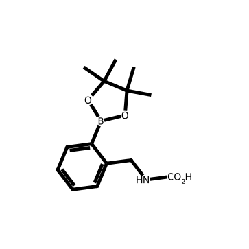 CC1(C)OB(c2ccccc2CNC(=O)O)OC1(C)C